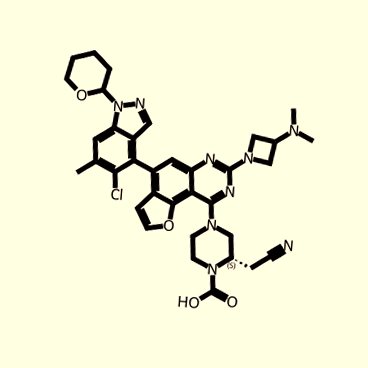 Cc1cc2c(cnn2C2CCCCO2)c(-c2cc3nc(N4CC(N(C)C)C4)nc(N4CCN(C(=O)O)[C@@H](CC#N)C4)c3c3occc23)c1Cl